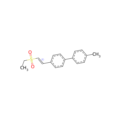 CCS(=O)(=O)/C=C/c1ccc(-c2ccc(C)cc2)cc1